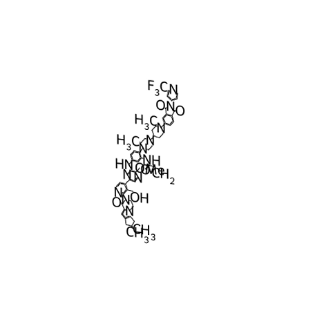 C=CC(=O)Nc1cc(Nc2nc(-c3ccnc(N4CCn5c(cc6c5CC(C)(C)C6)C4=O)c3CO)cnc2OC)ccc1N1CCN(C2CCN(c3ccc4c(c3)C(=O)N(c3ccnc(C(F)(F)F)c3)C4=O)[C@@H](C)C2)C[C@@H]1C